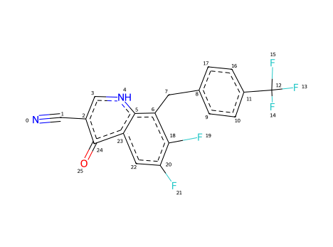 N#Cc1c[nH]c2c(Cc3ccc(C(F)(F)F)cc3)c(F)c(F)cc2c1=O